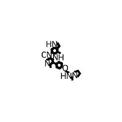 Cc1ncc(C#N)c(Nc2ccc3[nH]ccc3c2C)c1-c1ccc(OCCNC(C)N2CCCC2)cc1